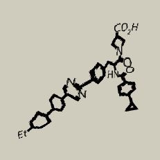 CCC1CCC(C2CC=C(c3cnc(-c4ccc(CC(NC(=O)c5ccc(C6CC6)cc5)C(=O)N5CC(C(=O)O)C5)cc4)nc3)CC2)CC1